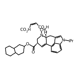 CC(C)n1cc2c3c(cccc31)C1=C[C@@H](C(=O)OC3CCC4CCCCC4C3)CN(C)[C@@H]1C2.O=C(O)/C=C\C(=O)O